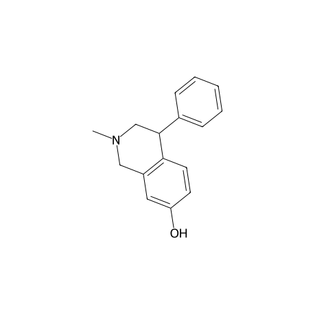 CN1Cc2cc(O)ccc2C(c2ccccc2)C1